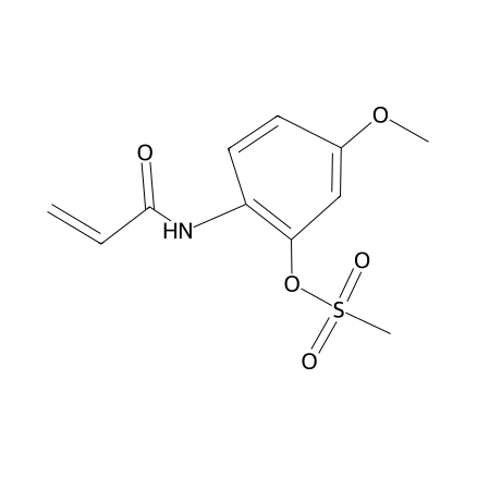 C=CC(=O)Nc1ccc(OC)cc1OS(C)(=O)=O